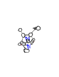 c1ccc(-c2cc(-c3ccccc3)c3c(c2)c2cc(-c4ccccc4)cc(-c4ccccc4)c2n3B2c3ccccc3-n3c4ccccc4c4c5ccccc5cc2c43)cc1